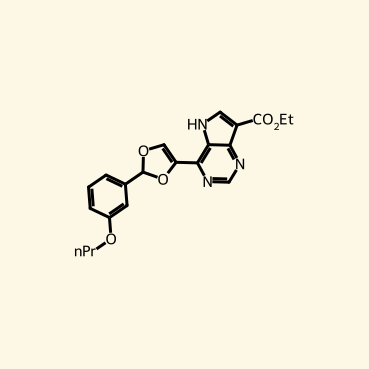 CCCOc1cccc(C2OC=C(c3ncnc4c(C(=O)OCC)c[nH]c34)O2)c1